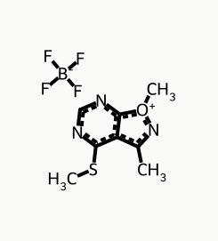 CSc1ncnc2c1c(C)n[o+]2C.F[B-](F)(F)F